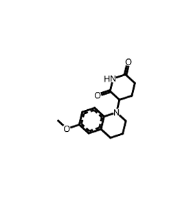 COc1ccc2c(c1)CCCN2C1CCC(=O)NC1=O